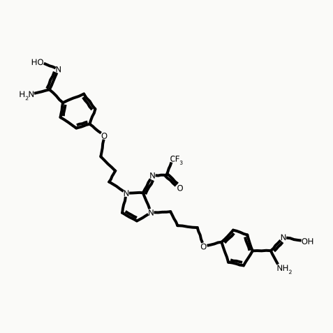 N/C(=N\O)c1ccc(OCCCn2ccn(CCCOc3ccc(/C(N)=N/O)cc3)c2=NC(=O)C(F)(F)F)cc1